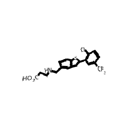 O=C(O)CCNCc1ccc2sc(-c3cc(C(F)(F)F)ccc3Cl)cc2c1